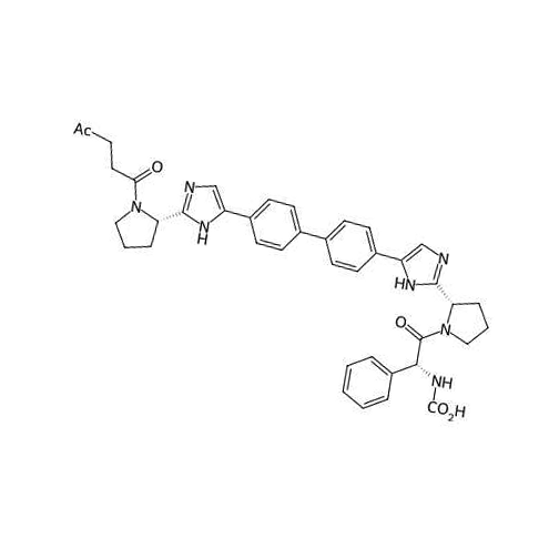 CC(=O)CCC(=O)N1CCC[C@H]1c1ncc(-c2ccc(-c3ccc(-c4cnc([C@@H]5CCCN5C(=O)[C@H](NC(=O)O)c5ccccc5)[nH]4)cc3)cc2)[nH]1